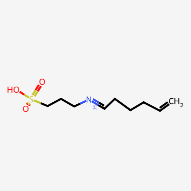 C=CCCC/C=N/CCCS(=O)(=O)O